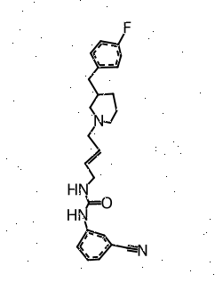 N#Cc1cccc(NC(=O)NCC=CCN2CCCC(Cc3ccc(F)cc3)C2)c1